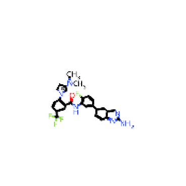 CN(C)[C@H]1CCN(c2ccc(C(F)(F)F)cc2C(=O)Nc2cc(-c3ccc4nc(N)ncc4c3)ccc2F)C1